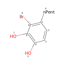 CCCCCc1ccc(O)c(O)c1Br